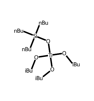 CCCC[Si](CCCC)(CCCC)[O][Ti]([O]C(C)CC)([O]C(C)CC)[O]C(C)CC